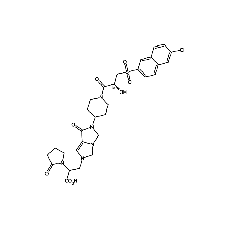 O=C(O)C(CN1C=C2C(=O)N(C3CCN(C(=O)[C@H](O)CS(=O)(=O)c4ccc5cc(Cl)ccc5c4)CC3)CN2C1)N1CCCC1=O